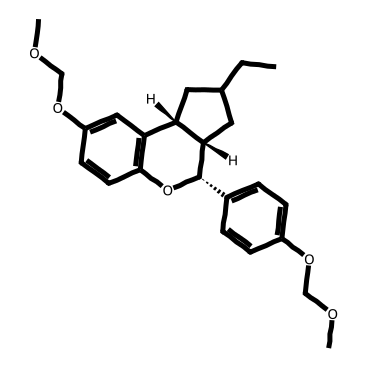 CCC1C[C@H]2[C@@H](C1)c1cc(OCOC)ccc1O[C@H]2c1ccc(OCOC)cc1